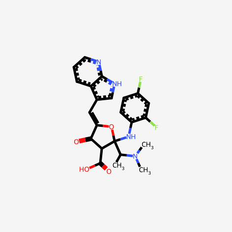 CC(N(C)C)C1(Nc2ccc(F)cc2F)O/C(=C\c2c[nH]c3ncccc23)C(=O)C1C(=O)O